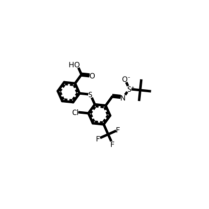 CC(C)(C)[S+]([O-])N=Cc1cc(C(F)(F)F)cc(Cl)c1Sc1ccccc1C(=O)O